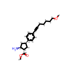 COCCCCCC#Cc1ccc([C@H]2C[C@H](C(=O)OC)[C@@H](N)C2)cc1